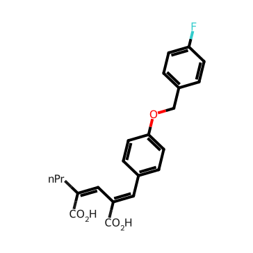 CCCC(=CC(=Cc1ccc(OCc2ccc(F)cc2)cc1)C(=O)O)C(=O)O